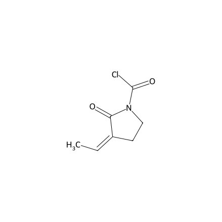 CC=C1CCN(C(=O)Cl)C1=O